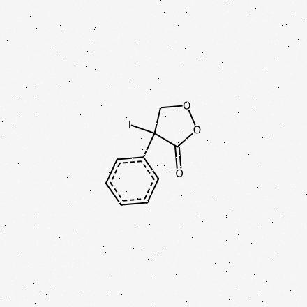 O=C1OOCC1(I)c1ccccc1